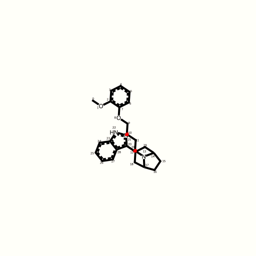 COc1ccccc1OCCCCN1C2CCC1CC(c1n[nH]c3ccccc13)C2